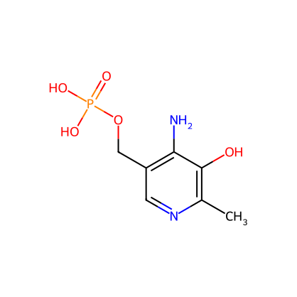 Cc1ncc(COP(=O)(O)O)c(N)c1O